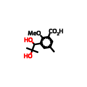 COc1c(C(=O)O)cc(C)cc1C(O)C(C)(C)O